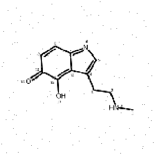 CNCCC1=CN=C2C=CC(=O)C(O)=C12